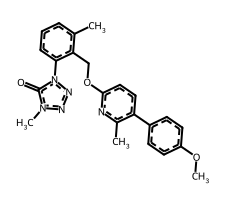 COc1ccc(-c2ccc(OCc3c(C)cccc3-n3nnn(C)c3=O)nc2C)cc1